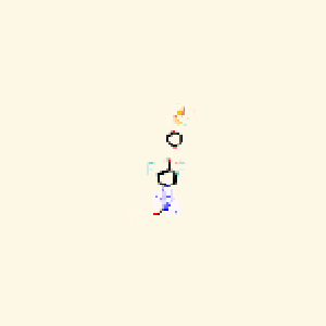 O=S(=O)(F)Oc1ccc(OCc2c(F)cc(-n3cnc(CO)n3)cc2F)cc1